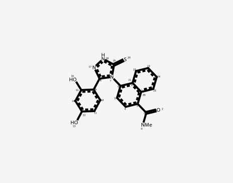 CNC(=O)c1ccc(-n2c(-c3ccc(O)cc3O)n[nH]c2=S)c2ccccc12